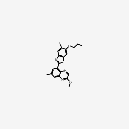 C[CH]COc1cc2sc(-c3cc(C)cc4nc(OC)cnc34)nc2cc1F